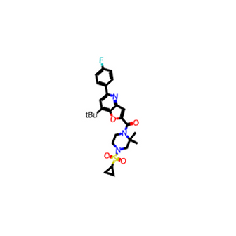 CC(C)(C)c1cc(-c2ccc(F)cc2)nc2cc(C(=O)N3CCN(S(=O)(=O)C4CC4)CC3(C)C)oc12